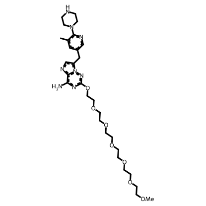 COCCOCCOCCOCCOCCOCCOc1nc(N)c2ncc(Cc3cnc(N4CCNCC4)c(C)c3)n2n1